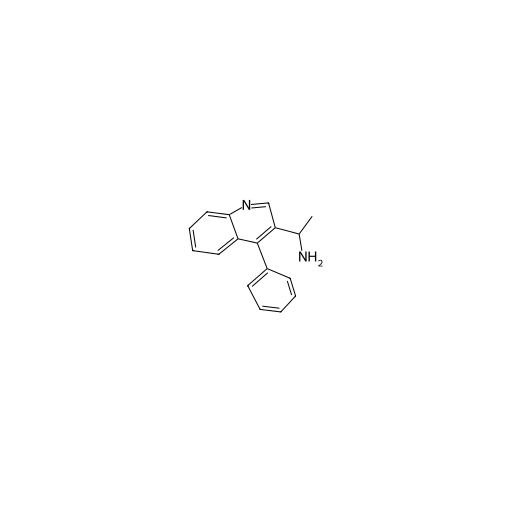 CC(N)c1cnc2ccccc2c1-c1ccccc1